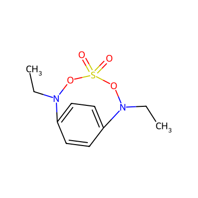 CCN1OS(=O)(=O)ON(CC)c2ccc1cc2